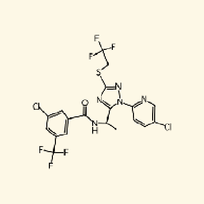 CC(NC(=O)c1cc(Cl)cc(C(F)(F)F)c1)c1nc(SCC(F)(F)F)nn1-c1ccc(Cl)cn1